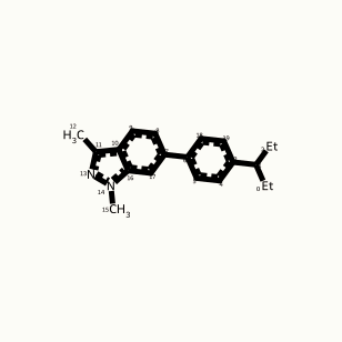 CCC(CC)c1ccc(-c2ccc3c(C)nn(C)c3c2)cc1